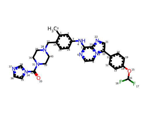 Cc1cc(Nc2nccn3c(-c4ccc(OC(F)F)cc4)cnc23)ccc1CN1CCN(C(=O)n2ccnc2)CC1